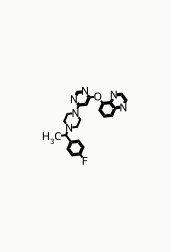 CC(c1ccc(F)cc1)N1CCN(c2cc(Oc3cccc4nccnc34)ncn2)CC1